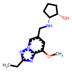 CCc1nc2c(OC)cc(CN[C@@H]3CCC[C@@H]3O)cn2n1